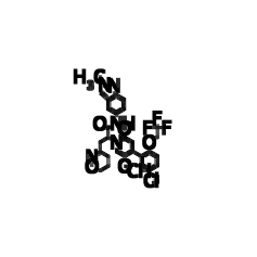 COc1cn(C(CC2=NOCCC2)C(=O)Nc2ccc3nn(C)cc3c2)c(=O)cc1-c1cc(Cl)ccc1OCC(F)(F)F